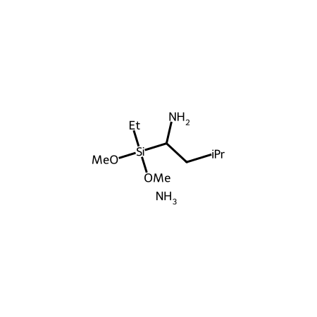 CC[Si](OC)(OC)C(N)CC(C)C.N